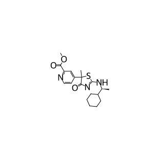 COC(=O)c1cc(C2(C)SC(N[C@@H](C)C3CCCCC3)=NC2=O)ccn1